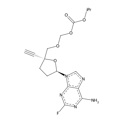 C#C[C@@]1(COCOC(=O)OC(C)C)CC[C@H](n2cnc3c(N)nc(F)nc32)O1